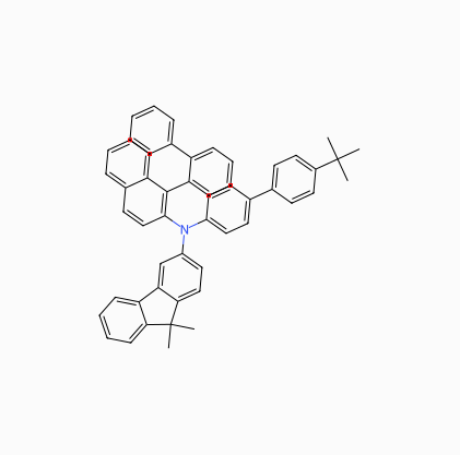 CC(C)(C)c1ccc(-c2ccc(N(c3ccc4c(c3)-c3ccccc3C4(C)C)c3ccc4ccccc4c3-c3ccccc3-c3ccccc3)cc2)cc1